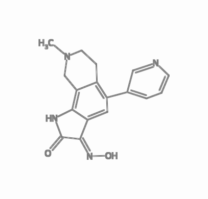 CN1CCc2c(-c3cccnc3)cc3c(c2C1)NC(=O)/C3=N/O